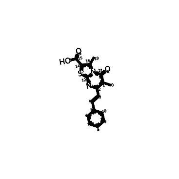 Cc1c(/C=C/c2ccccc2)nc2sc(C(=O)O)c(C)n2c1=O